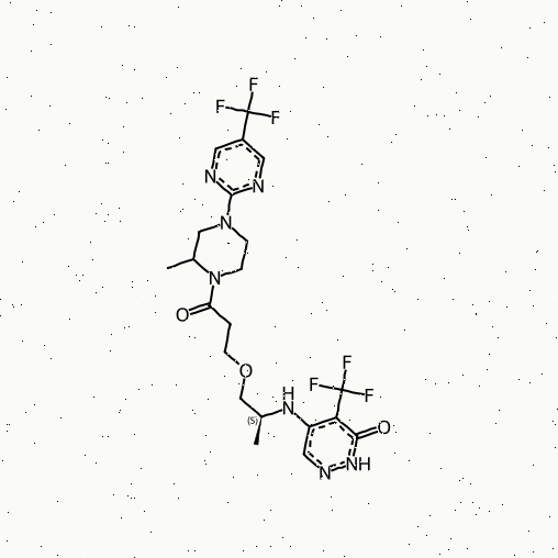 CC1CN(c2ncc(C(F)(F)F)cn2)CCN1C(=O)CCOC[C@H](C)Nc1cn[nH]c(=O)c1C(F)(F)F